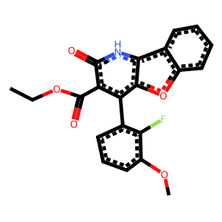 CCOC(=O)c1c(-c2cccc(OC)c2F)c2oc3ccccc3c2[nH]c1=O